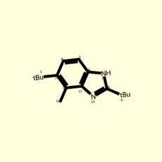 Cc1c(C(C)(C)C)ccc2[nH]c(C(C)(C)C)nc12